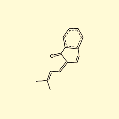 CC(C)=C/C=C1/C=Cc2ccccc2C1=O